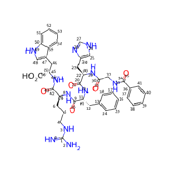 N=C(N)NCCC[C@H](NC(=O)[C@@H](Cc1ccccc1)NC(=O)[C@@H](Cc1c[nH]cn1)NC(=O)CNC(=O)c1ccccc1)C(=O)N[C@@H](Cc1c[nH]c2ccccc12)C(=O)O